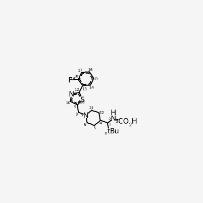 CC(C)(C)C(NC(=O)O)C1CCN(Cc2cnc(-c3ccccc3F)s2)CC1